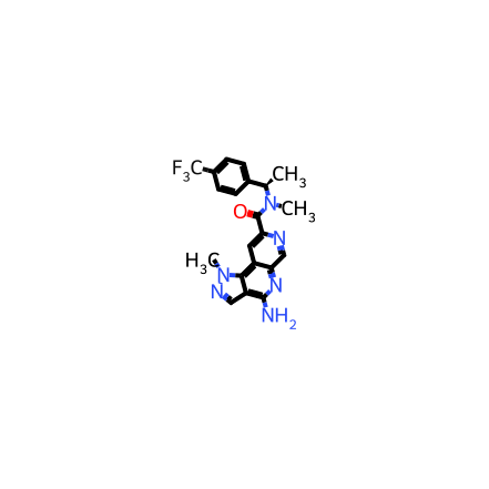 C[C@H](c1ccc(C(F)(F)F)cc1)N(C)C(=O)c1cc2c(cn1)nc(N)c1cnn(C)c12